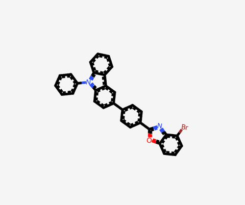 Brc1cccc2oc(-c3ccc(-c4ccc5c(c4)c4ccccc4n5-c4ccccc4)cc3)nc12